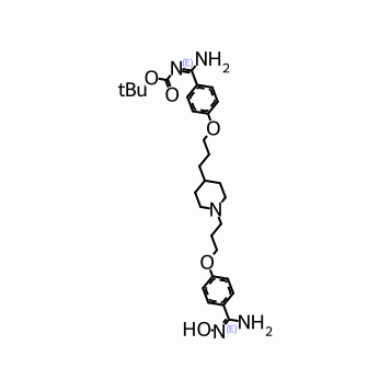 CC(C)(C)OC(=O)/N=C(/N)c1ccc(OCCCC2CCN(CCCOc3ccc(/C(N)=N\O)cc3)CC2)cc1